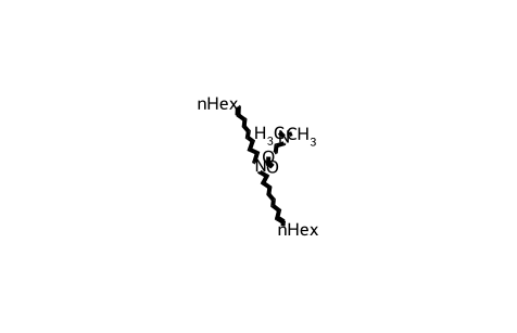 CCCCCCC=CCCCCCCCCN(CCCCCCCCC=CCCCCCC)C(=O)OCCCN(C)C